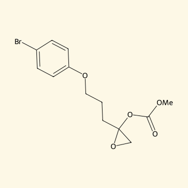 COC(=O)OC1(CCCOc2ccc(Br)cc2)CO1